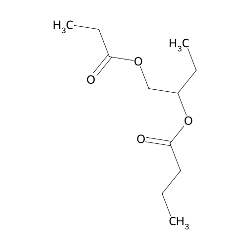 CCCC(=O)OC(CC)COC(=O)CC